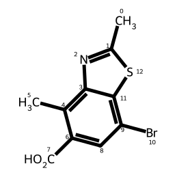 Cc1nc2c(C)c(C(=O)O)cc(Br)c2s1